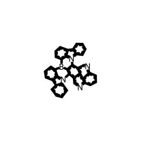 c1cc2ncc3c4c5c(c6cnc(c1)c2c36)-n1c2ccccc2c2cccc(c21)B5c1cccc2c3ccccc3n-4c12